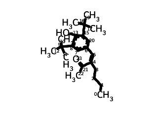 CCCCC(=Cc1cc(C(C)(C)C)c(O)c(C(C)(C)C)c1)C(C)=O